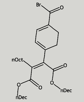 CCCCCCCCCCOC(=O)/C(CCCCCCCC)=C(\C(=O)OCCCCCCCCCC)C1=CC=C(C(=O)Br)CC1